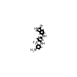 N[C@H]1CC[C@@H](Nc2nc(Nc3ccc4c(c3)CNC4=O)ncc2C(F)(F)F)CC1